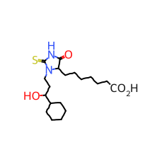 O=C(O)CCCCCCC1C(=O)NC(=S)N1CCC(O)C1CCCCC1